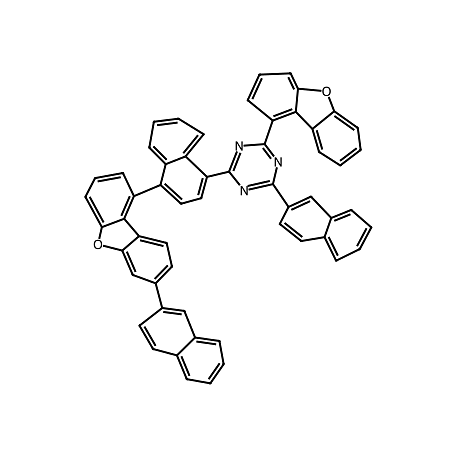 c1ccc2cc(-c3ccc4c(c3)oc3cccc(-c5ccc(-c6nc(-c7ccc8ccccc8c7)nc(-c7cccc8oc9ccccc9c78)n6)c6ccccc56)c34)ccc2c1